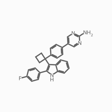 Nc1ncc(-c2ccc(C3(c4c(-c5ccc(F)cc5)[nH]c5ccccc45)CCC3)cc2)cn1